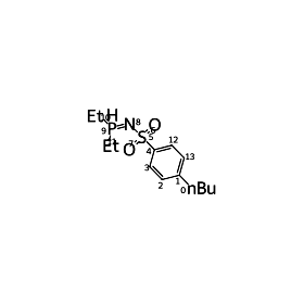 CCCCc1ccc(S(=O)(=O)N=[PH](CC)CC)cc1